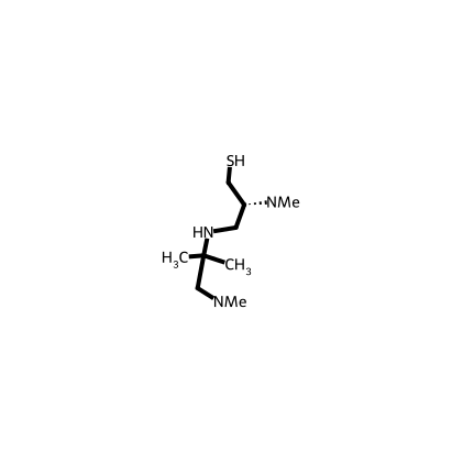 CNCC(C)(C)NC[C@H](CS)NC